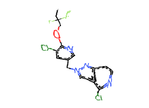 CC(F)(F)COc1ncc(Cn2cc3c(Cl)nccc3n2)cc1Cl